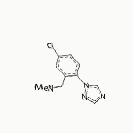 CNCc1cc(Cl)ccc1-n1cncn1